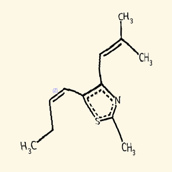 CC/C=C\c1sc(C)nc1C=C(C)C